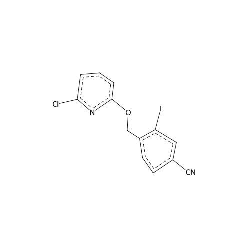 N#Cc1ccc(COc2cccc(Cl)n2)c(I)c1